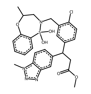 COC(=O)CC(c1ccc(Cl)c(CN2CC(C)Oc3ccccc3S2(O)O)c1)c1ccc2c(c1)nnn2C